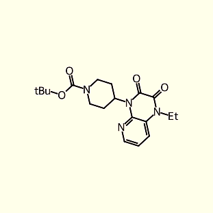 CCn1c(=O)c(=O)n(C2CCN(C(=O)OC(C)(C)C)CC2)c2ncccc21